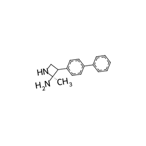 C[C@]1(N)NCC1c1ccc(-c2ccccc2)cc1